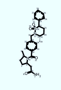 CC1CCC(CC(N)=O)N1C(=O)c1ccc(CN2[C@@H](C)CCC(c3ccccc3)S2(=O)=O)cc1